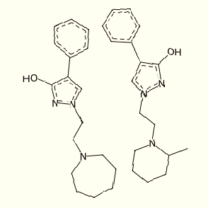 CC1CCCCN1CCn1cc(-c2ccccc2)c(O)n1.Oc1nn(CCN2CCCCCC2)cc1-c1ccccc1